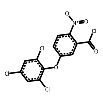 O=C(Cl)c1cc(Oc2c(Cl)cc(Cl)cc2Cl)ccc1[N+](=O)[O-]